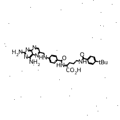 CC(C)(C)c1ccc(C(=O)NCCC[C@H](NC(=O)c2ccc(NCc3cnc4nc(N)nc(N)c4n3)cc2)C(=O)O)cc1